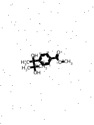 COC(=O)c1ccc(C(C)(O)C(C)(C)O)cc1